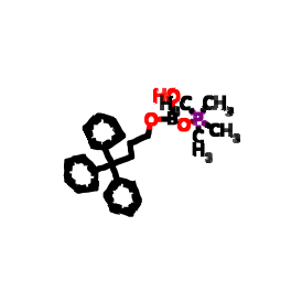 CP(C)(C)(C)OB(O)OCCCC(c1ccccc1)(c1ccccc1)c1ccccc1